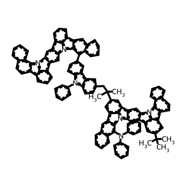 CC(C)(C)c1cc2c3cc4c(cc3n3c5c6ccccc6ccc5c(c1)c23)c1cc(C(C)(C)Cc2ccc3c(c2)c2cc(-c5c6ccccc6cc6c7cccc8c9cc%10c(cc9n(c56)c87)c5cccc6c7ccc8ccccc8c7n%10c56)ccc2n3-c2ccccc2)cc2c3cc5ccccc5c(N(c5ccccc5)c5ccccc5)c3n4c12